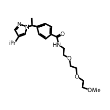 COCCOCCOCCNC(=O)c1ccc(C(C)n2cc(C(C)C)cn2)cc1